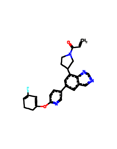 C=CC(=O)N1CCC(c2cc(-c3ccc(OC4=CC(F)=CCC4)nc3)cc3cncnc23)C1